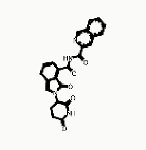 O=C1CCC(N2C=C3CC=CC(C(=O)NC(=O)c4cc5ccccc5cn4)=C3C2=O)C(=O)N1